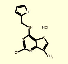 Cc1csc2c(NCc3ccco3)nc(Cl)nc12.Cl